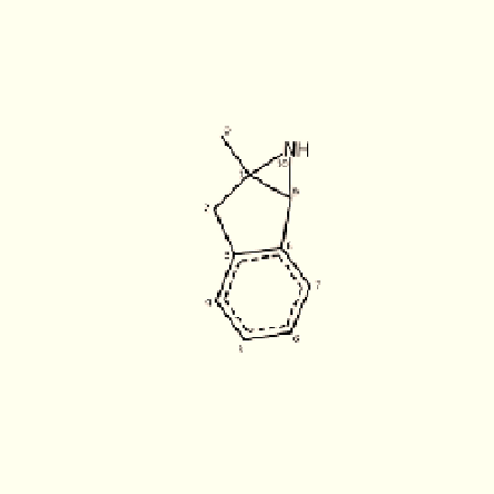 CC12Cc3ccccc3C1N2